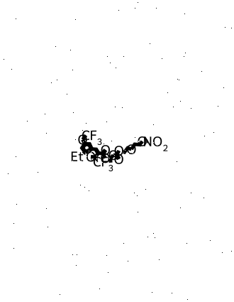 CCc1cc(OC(F)(F)F)cc2c1O[C@H](C(F)(F)F)C(C(=O)OC(C)OC(=O)OCCOCCO[N+](=O)[O-])=C2